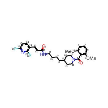 COc1cccc(OC)c1C(=O)N1CCC(CCCCNC(=O)/C=C/c2ccc(F)nc2F)CC1